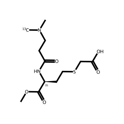 COC(=O)[C@H](CCSCC(=O)O)NC(=O)CCN(C)[13CH3]